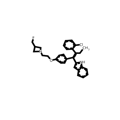 CC/C(=C(/c1ccc(OCCN2CC(CF)C2)cc1)c1cc2ccccc2[nH]1)c1ccccc1Cl